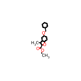 CCOC(=O)c1oc2ccc(OCc3ccccc3)cc2c1C